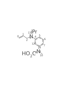 C=CCN(c1cccc(N(C)C(=O)O)c1)C(C)C